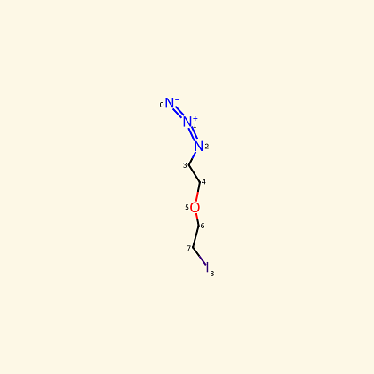 [N-]=[N+]=NCCOCCI